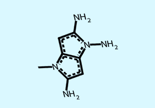 Cn1c(N)cc2c1cc(N)n2N